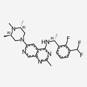 Cc1nc(N[C@H](C)c2cccc(C(F)F)c2F)c2cc(N3C[C@@H](C)N(C)[C@H](C)C3)ncc2n1